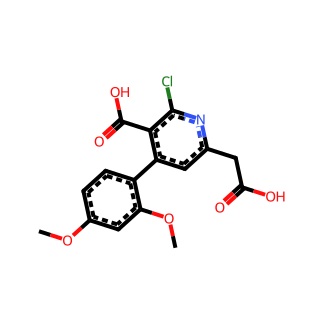 COc1ccc(-c2cc(CC(=O)O)nc(Cl)c2C(=O)O)c(OC)c1